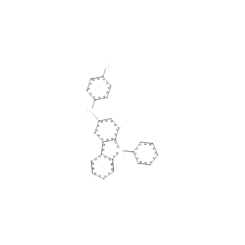 [C-]#[N+]c1ccc(Nc2ccc3c(c2)c2ccccc2n3-c2ccccc2)cc1